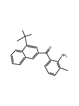 Cc1cccc(C(=O)c2cc(C(C)(C)C)c3ccccc3c2)c1N